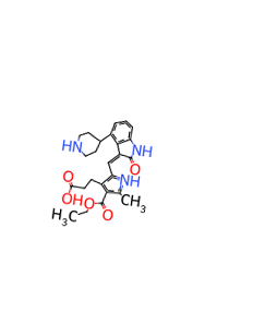 CCOC(=O)c1c(C)[nH]c(C=C2C(=O)Nc3cccc(C4CCNCC4)c32)c1CCC(=O)O